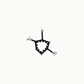 O=Nc1ccc(O)c(Br)c1